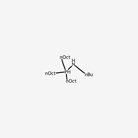 CCCCCCCC[PH](CCCCCCCC)(CCCCCCCC)NCCCC